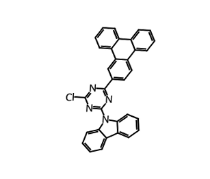 Clc1nc(-c2ccc3c4ccccc4c4ccccc4c3c2)nc(-n2c3ccccc3c3ccccc32)n1